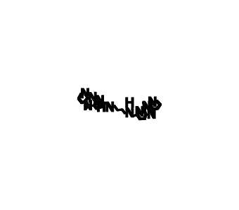 CN1c2cccnc2N(C)c2nc(CNCCCCNCc3ccc4c(n3)N(C)c3ncccc3N4C)ccc21